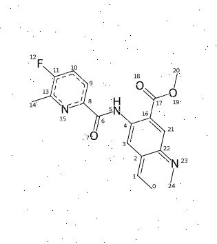 C/C=C1/C=C(NC(=O)c2ccc(F)c(C)n2)C(C(=O)OC)=C/C1=N/C